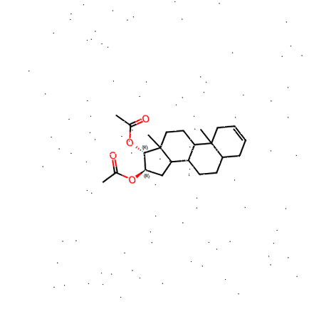 CC(=O)O[C@@H]1CC2C3CCC4CC=CCC4(C)C3CCC2(C)[C@H]1OC(C)=O